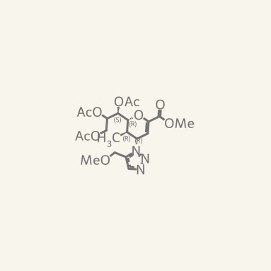 COCc1cnnn1[C@H]1C=C(C(=O)OC)O[C@@H]([C@H](OC(C)=O)C(COC(C)=O)OC(C)=O)[C@@H]1C